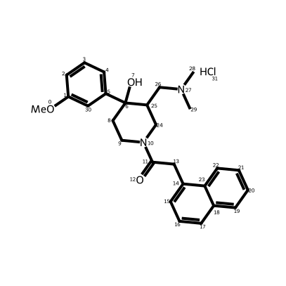 COc1cccc(C2(O)CCN(C(=O)Cc3cccc4ccccc34)CC2CN(C)C)c1.Cl